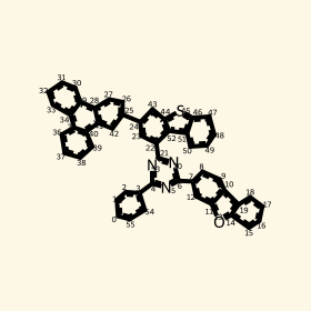 c1ccc(-c2nc(-c3ccc4c(c3)oc3ccccc34)nc(-c3cc(-c4ccc5c6ccccc6c6ccccc6c5c4)cc4sc5ccccc5c34)n2)cc1